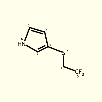 FC(F)(F)CSc1cc[nH]c1